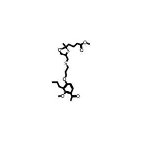 CCCc1c(OCCCSCC2COC(C)(CCCC(=O)OC)S2)ccc(C(C)=O)c1OC